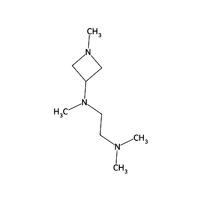 CN(C)CCN(C)C1CN(C)C1